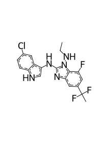 CCNn1c(Nc2c[nH]c3ccc(Cl)cc23)nc2cc(C(C)(F)F)cc(F)c21